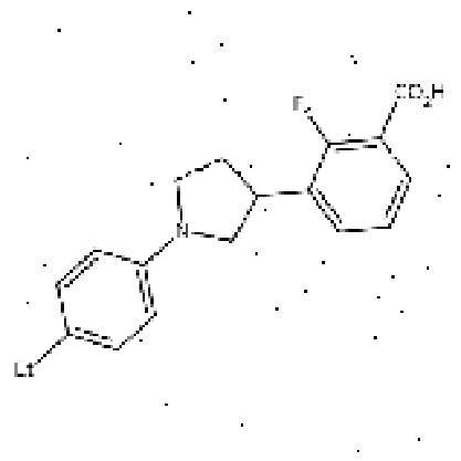 CCc1ccc(N2CCC(c3cccc(C(=O)O)c3F)C2)cc1